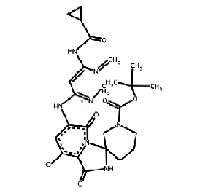 C=N/C(=C\C(=N/C)Nc1cc(Cl)c2n(c1=O)C1(CCCN(C(=O)OC(C)(C)C)C1)NC2=O)NC(=O)C1CC1